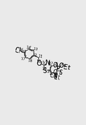 CCOP(=S)(OCC)Oc1nc(OCc2ccc(Cl)cc2)sc1C#N